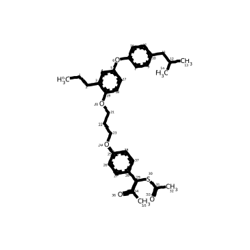 CCCc1cc(Oc2ccc(CC(C)C)cc2)ccc1OCCCOc1ccc(C(SC(C)=O)C(C)=O)cc1